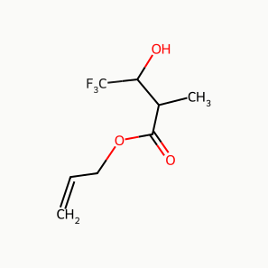 C=CCOC(=O)C(C)C(O)C(F)(F)F